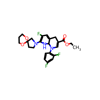 CCOC(=O)C1=CN(c2ccc(F)cc2F)C2NC(N3CCC4(C3)OCCCO4)=C(F)C=C2C1